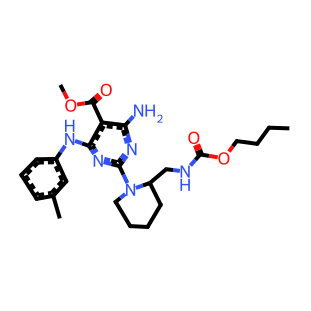 CCCCOC(=O)NCC1CCCCN1c1nc(N)c(C(=O)OC)c(Nc2cccc(C)c2)n1